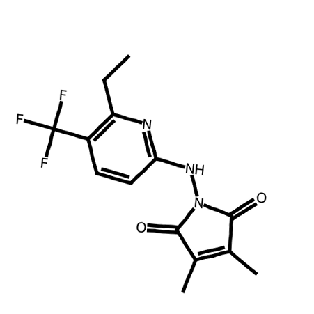 CCc1nc(NN2C(=O)C(C)=C(C)C2=O)ccc1C(F)(F)F